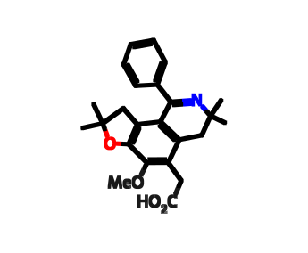 COc1c(CC(=O)O)c2c(c3c1OC(C)(C)C3)C(c1ccccc1)=NC(C)(C)C2